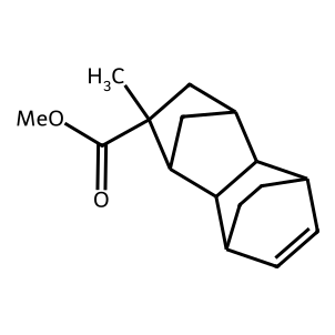 COC(=O)C1(C)CC2CC1C1C3C=CC(CC3)C21